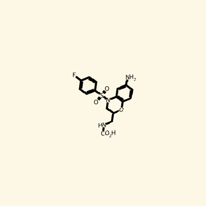 Nc1ccc2c(c1)N(S(=O)(=O)c1ccc(F)cc1)CC(CNC(=O)O)O2